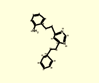 Nc1ccccc1CCc1cc(CCc2ccccc2)ncn1